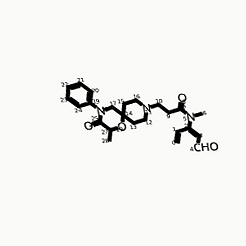 C=C/C(=C\C=O)N(C)C(=O)CCN1CCC2(CC1)CN(c1ccccc1)C(=O)C(C)O2